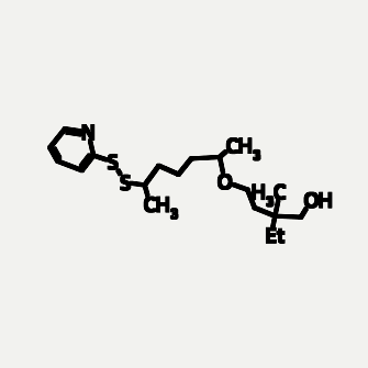 CCC(C)(CO)CCOC(C)CCCC(C)SSc1ccccn1